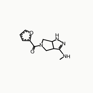 CNC1=NNC2CN(C(=O)c3ccco3)CC12